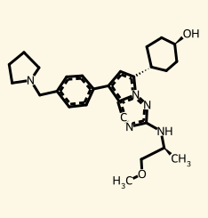 COC[C@H](C)Nc1ncc2c(-c3ccc(CN4CCCC4)cc3)cc([C@H]3CC[C@H](O)CC3)n2n1